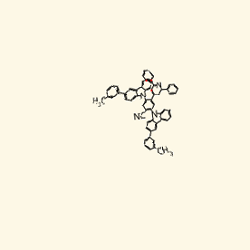 Cc1cccc(-c2ccc3c(c2)c2ccccc2n3-c2cc(-c3cc(-c4ccccc4)nc(-c4ccccc4)c3)c(-n3c4ccccc4c4cc(-c5cccc(C)c5)ccc43)cc2C#N)c1